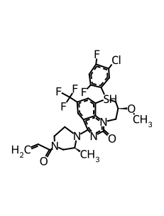 C=CC(=O)N1CCN(c2nc(=O)n3c4c(cc(C(F)(F)F)cc24)[SH](c2cc(Cl)c(F)cc2F)C[C@@H](OC)C3)[C@@H](C)C1